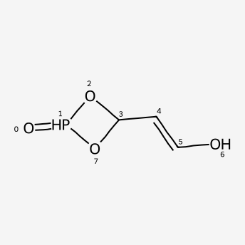 O=[PH]1OC(C=CO)O1